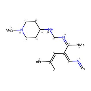 C=N/C=C(/C=C(\C)CCC)C(=N/CNC1CCN(SC)CC1)\NC